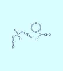 CCOC=O.[N-]=[N+]=NS(=O)(=O)N=[N+]=[N-].c1ccccc1